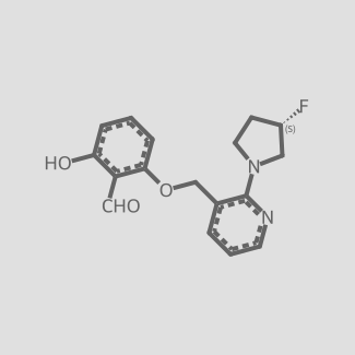 O=Cc1c(O)cccc1OCc1cccnc1N1CC[C@H](F)C1